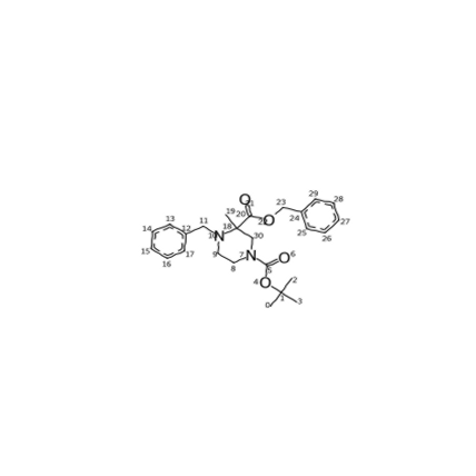 CC(C)(C)OC(=O)N1CCN(Cc2ccccc2)C(C)(C(=O)OCc2ccccc2)C1